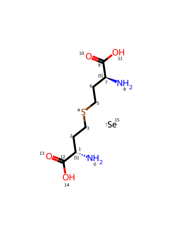 N[C@@H](CCSCC[C@H](N)C(=O)O)C(=O)O.[Se]